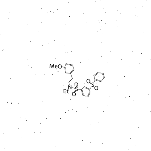 CCN(CCc1cccc(OC)c1)S(=O)(=O)c1cccc(S(=O)(=O)c2ccccc2)c1